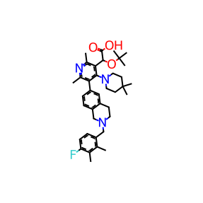 Cc1nc(C)c(C(OC(C)(C)C)C(=O)O)c(N2CCC(C)(C)CC2)c1-c1ccc2c(c1)CCN(Cc1ccc(F)c(C)c1C)C2